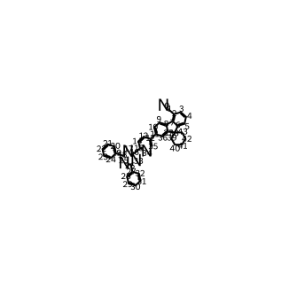 N#Cc1cccc2c1-c1ccc(-c3ccc(-c4nc(-c5ccccc5)nc(-c5ccccc5)n4)nc3)cc1C21CCCCC1